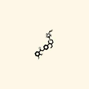 CCC1=C(c2ccc(CC(=O)c3cccc(F)c3F)cc2)CN(c2nnn(CF)n2)CC1